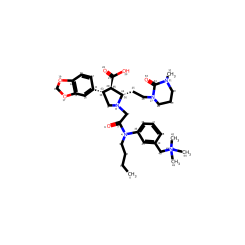 CCCCN(C(=O)CN1C[C@H](c2ccc3c(c2)OCO3)[C@@H](C(=O)O)[C@@H]1CCN1CCCN(C)C1=O)c1cccc(C[N+](C)(C)C)c1